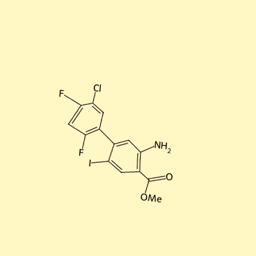 COC(=O)c1cc(I)c(-c2cc(Cl)c(F)cc2F)cc1N